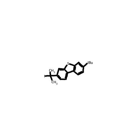 CC(C)(C)c1ccc2c(c1)sc1cc(C(C)(C)I)ccc12